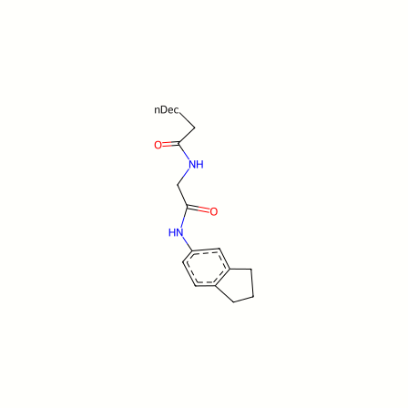 CCCCCCCCCCCC(=O)NCC(=O)Nc1ccc2c(c1)CCC2